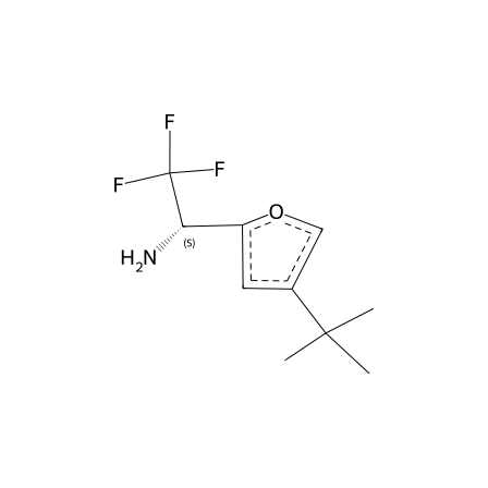 CC(C)(C)c1coc([C@H](N)C(F)(F)F)c1